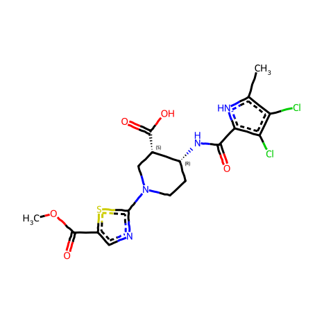 COC(=O)c1cnc(N2CC[C@@H](NC(=O)c3[nH]c(C)c(Cl)c3Cl)[C@@H](C(=O)O)C2)s1